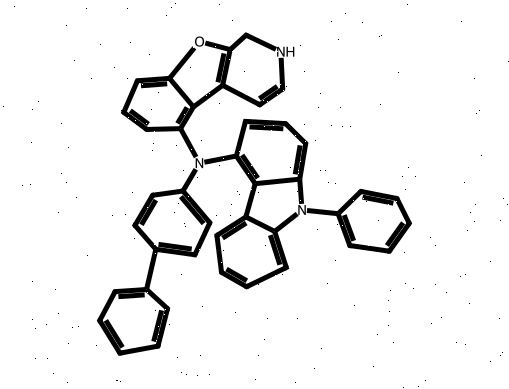 C1=Cc2c(oc3cccc(N(c4ccc(-c5ccccc5)cc4)c4cccc5c4c4ccccc4n5-c4ccccc4)c23)CN1